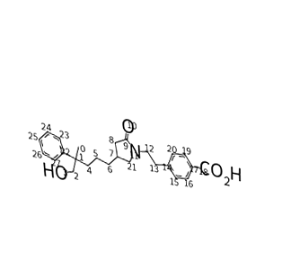 CC(CO)(CCCC1CC(=O)N(CCc2ccc(C(=O)O)cc2)C1)c1ccccc1